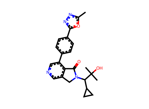 Cc1nnc(-c2ccc(-c3cncc4c3C(=O)N(C(C3CC3)C(C)(C)O)C4)cc2)o1